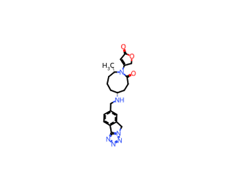 C[C@H]1CCC[C@@H](NCc2ccc3c(c2)Cn2nnnc2-3)CCC(=O)N1C1=CC(=O)OC1